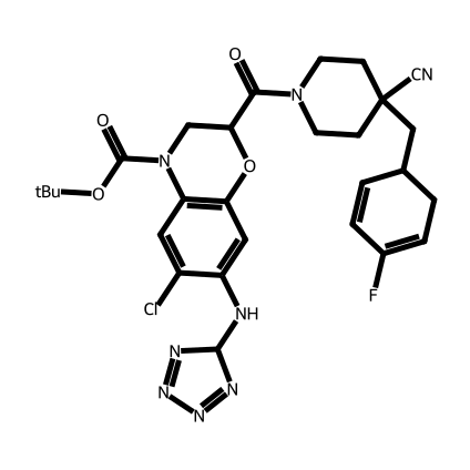 CC(C)(C)OC(=O)N1CC(C(=O)N2CCC(C#N)(CC3C=CC(F)=CC3)CC2)Oc2cc(NC3N=NN=N3)c(Cl)cc21